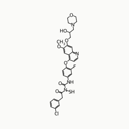 COc1cc2c(Oc3ccc(NC(=O)N(S)C(=O)Cc4cccc(Cl)c4)cc3F)ccnc2cc1OCC(O)CN1CCOCC1